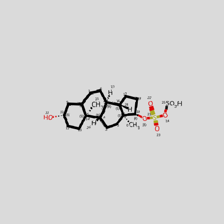 C[C@]12CC[C@H]3[C@@H](CCC4C[C@@H](O)CC[C@@]43C)[C@@H]1CC[C@H]2OS(=O)(=O)OS(=O)(=O)O